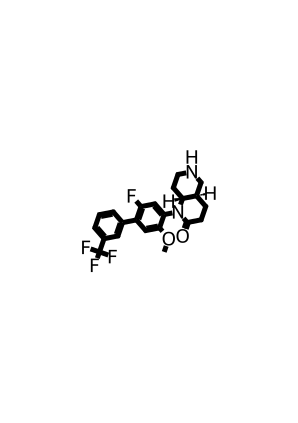 COc1cc(-c2cccc(C(F)(F)F)c2)c(F)cc1N1C(=O)CC[C@@H]2CNCC[C@H]21